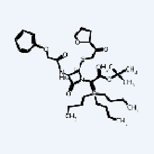 CCCCP(CCCC)(CCCC)=C(C(=O)OC(C)(C)C)N1C(=O)[C@@H](NC(=O)COc2ccccc2)[C@H]1SCC(=O)C1CCCO1